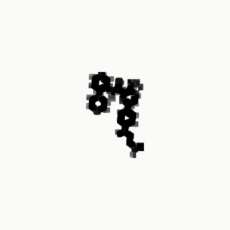 CN(CCNI)c1ccc(-c2cnc(N)c(C(=O)Nc3cnccc3N3CCOCC3)n2)cc1